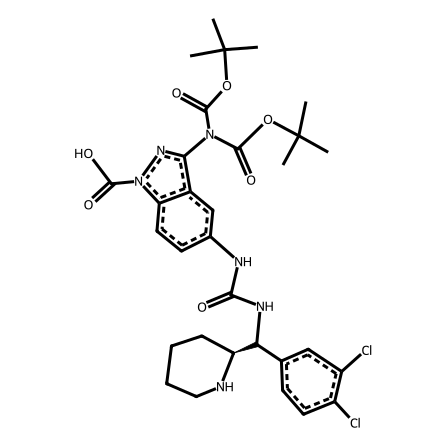 CC(C)(C)OC(=O)N(C(=O)OC(C)(C)C)c1nn(C(=O)O)c2ccc(NC(=O)NC(c3ccc(Cl)c(Cl)c3)[C@@H]3CCCCN3)cc12